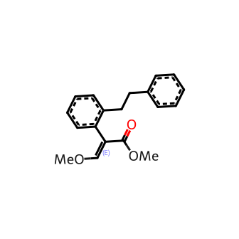 CO/C=C(/C(=O)OC)c1ccccc1CCc1ccccc1